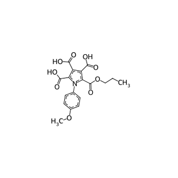 CCCOC(=O)c1c(C(=O)O)c(C(=O)O)c(C(=O)O)n1-c1ccc(OC)cc1